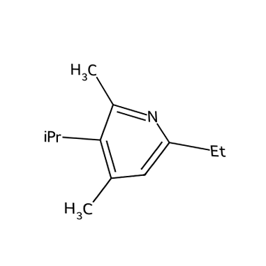 CCc1cc(C)c(C(C)C)c(C)n1